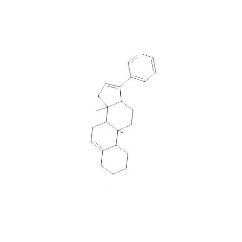 BC12CC=C(c3cccnc3)[C@@]1(C)CC[C@H]1[C@H]2CC=C2C[C@@H](O)CC[C@@]21C